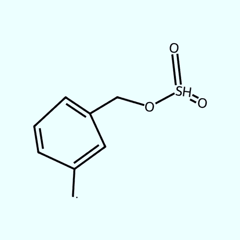 [CH2]c1cccc(CO[SH](=O)=O)c1